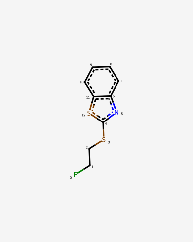 FCCSc1nc2ccccc2s1